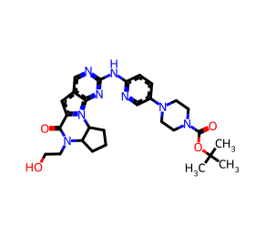 CC(C)(C)OC(=O)N1CCN(c2ccc(Nc3ncc4cc5n(c4n3)C3CCCC3N(CCO)C5=O)nc2)CC1